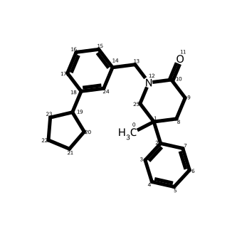 CC1(c2ccccc2)CCC(=O)N(Cc2cc[c]c(C3CCCC3)c2)C1